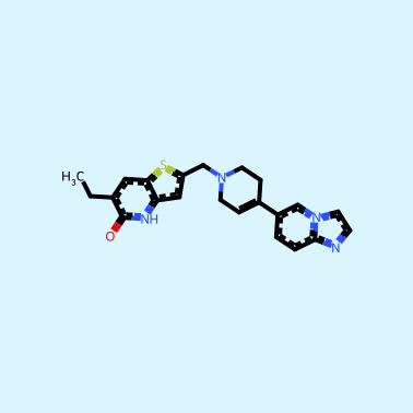 CCc1cc2sc(CN3CC=C(c4ccc5nccn5c4)CC3)cc2[nH]c1=O